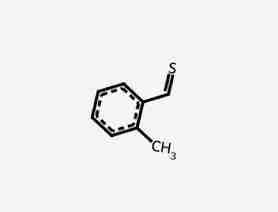 Cc1ccccc1C=S